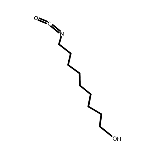 O=C=NCCCCCCCCCO